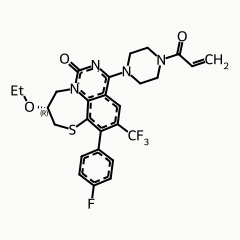 C=CC(=O)N1CCN(c2nc(=O)n3c4c(c(-c5ccc(F)cc5)c(C(F)(F)F)cc24)SC[C@H](OCC)C3)CC1